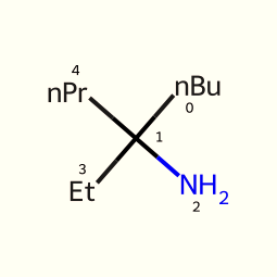 CCCCC(N)(CC)CCC